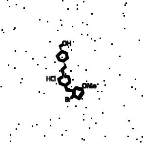 COc1ccc(Br)c(CC2CCN(CC[C@H]3CC[C@@H](CO)CC3)CC2)c1.Cl